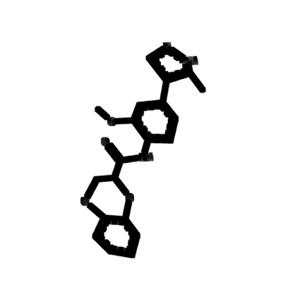 COc1cc(-c2cn[nH]c2C)ccc1NC(=O)C1COc2ccccc2O1